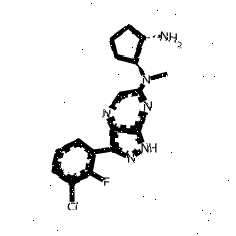 CN(c1cnc2c(-c3cccc(Cl)c3F)n[nH]c2n1)[C@H]1CCC[C@@H]1N